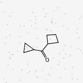 O=C(C1CCC1)C1CC1